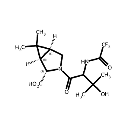 CC(C)(O)C(NC(=O)C(F)(F)F)C(=O)N1C[C@H]2[C@@H]([C@H]1C(=O)O)C2(C)C